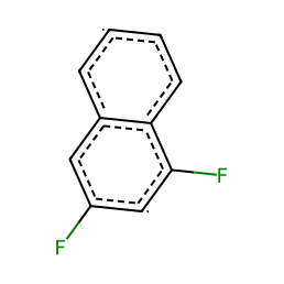 Fc1[c]c(F)c2cc[c]cc2c1